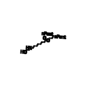 CCCCCC(CCCCC)CCOC(=O)CCCCCCCNCCO